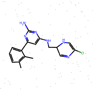 Cc1cccc(-c2cc(NCC3C=NC(Cl)=CN3)nc(N)n2)c1C